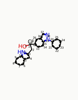 OC(Cc1cc2ccccc2[nH]1)(c1ccc2c(cnn2-c2ccccc2)c1)C(F)(F)F